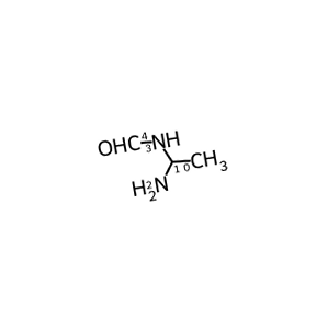 CC(N)NC=O